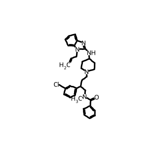 C=CCn1c(NC2CCN(CCC(CN(C)C(=O)c3ccccc3)c3cccc(Cl)c3)CC2)nc2ccccc21